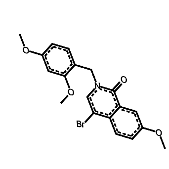 COc1ccc(Cn2cc(Br)c3ccc(OC)cc3c2=O)c(OC)c1